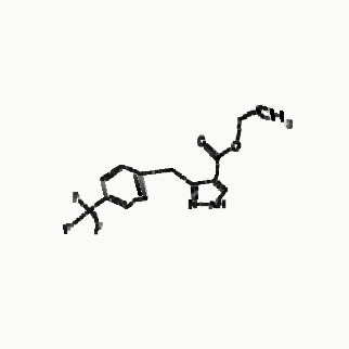 CCOC(=O)c1c[nH]nc1Cc1ccc(C(F)(F)F)cc1